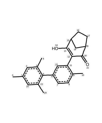 Cc1cc(C)c(-c2ccc(C)c(C3=C(O)C4CCC(C4)C3=O)c2)c(C)c1